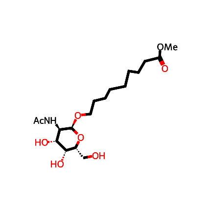 COC(=O)CCCCCCCCO[C@H]1O[C@H](CO)[C@H](O)[C@H](O)[C@H]1NC(C)=O